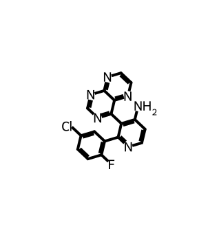 Nc1ccnc(-c2cc(Cl)ccc2F)c1-c1ncnc2nccnc12